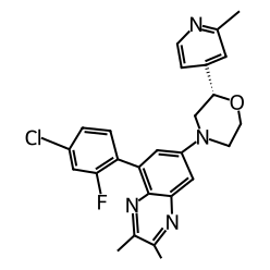 Cc1cc([C@H]2CN(c3cc(-c4ccc(Cl)cc4F)c4nc(C)c(C)nc4c3)CCO2)ccn1